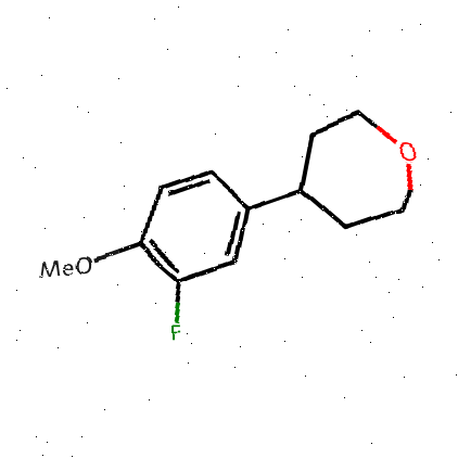 COc1ccc(C2CCOCC2)cc1F